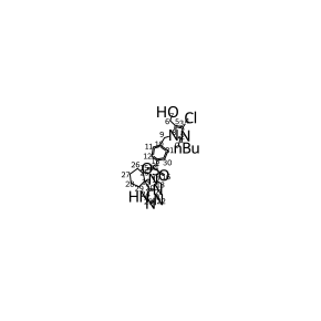 CCCCc1nc(Cl)c(CO)n1Cc1ccc(S(=O)(=O)N(C)C2(c3nnn[nH]3)CCCCC2)cc1